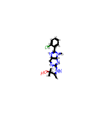 CC(Nc1ncc2nc(-c3ccccc3Cl)n(C)c2n1)C(C)(C)O